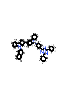 c1ccc(-c2nc(-c3ccccc3)nc(-c3ccc(-n4c5ccccc5c5cc(-c6ccc7c8ccccc8n(-c8ccc9ccccc9c8)c7c6)ccc54)cc3)n2)cc1